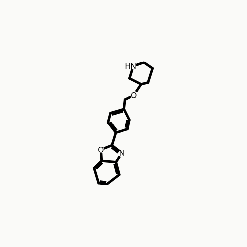 c1ccc2oc(-c3ccc(COC4CCCNC4)cc3)nc2c1